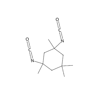 CC1(C)CC(C)(N=C=O)CC(C)(N=C=O)C1